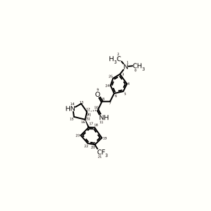 CN(C)c1ccc(CC(=O)C(=N)[C@H]2CNC[C@@H]2c2ccc(C(F)(F)F)cc2)cc1